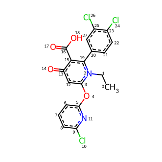 CCn1c(Oc2cccc(Cl)n2)cc(=O)c(C(=O)O)c1-c1ccc(Cl)c(Cl)c1